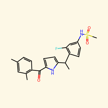 Cc1ccc(C(=O)c2ccc(C(C)c3ccc(NS(C)(=O)=O)cc3F)[nH]2)c(C)c1